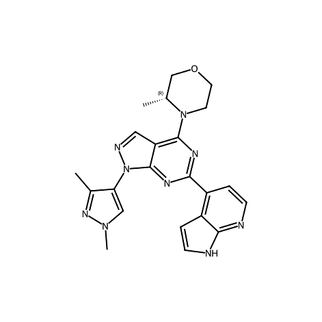 Cc1nn(C)cc1-n1ncc2c(N3CCOC[C@H]3C)nc(-c3ccnc4[nH]ccc34)nc21